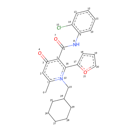 Cc1cc(=O)c(C(=O)Nc2ccccc2Cl)c(-c2ccco2)n1CC1CCCCC1